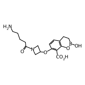 NCCCCC(=O)N1CC(Oc2ccc3c(c2C(=O)O)OB(O)CC3)C1